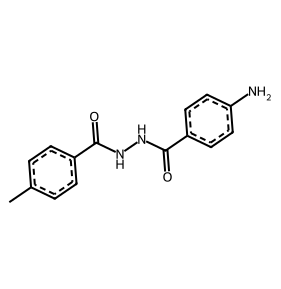 Cc1ccc(C(=O)NNC(=O)c2ccc(N)cc2)cc1